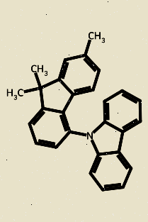 Cc1ccc2c(c1)C(C)(C)c1cccc(-n3c4ccccc4c4ccccc43)c1-2